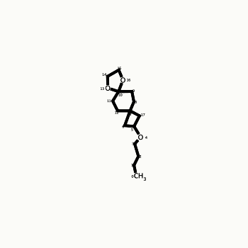 CCCCOC1CC2(CCC3(CC2)OCCO3)C1